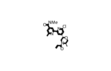 C=CC(=O)N1C[C@H](c2cc(Cl)nc(-c3cc(C(=O)NC)cc(C)n3)c2)OC[C@H]1C